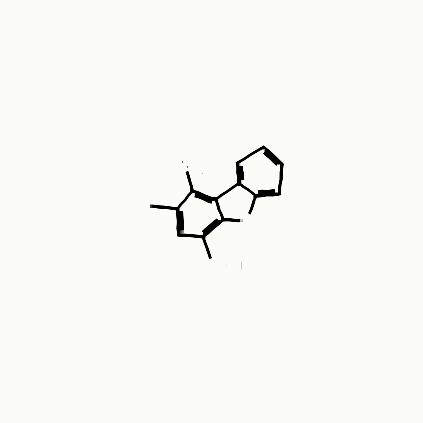 Nc1c(Cl)cc(C(=O)O)c2oc3ccccc3c12